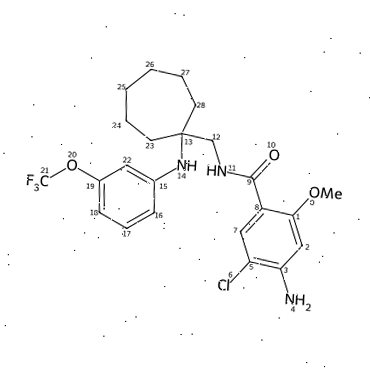 COc1cc(N)c(Cl)cc1C(=O)NCC1(Nc2cccc(OC(F)(F)F)c2)CCCCCC1